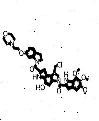 COc1cc2cc(C(=O)N3CC(CCl)c4c3cc(O)c3[nH]c(C(=O)N5CCc6ccc(OCCN7CCOCC7)cc65)cc43)[nH]c2c(OC)c1OC